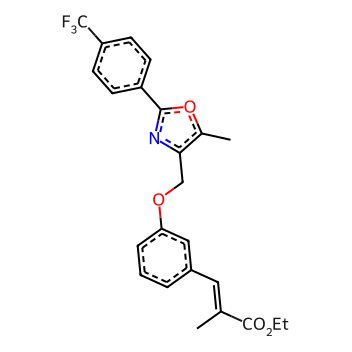 CCOC(=O)C(C)=Cc1cccc(OCc2nc(-c3ccc(C(F)(F)F)cc3)oc2C)c1